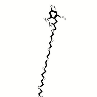 Cc1cc(C)c(CC(O)COCCOCCOCCOCCOCCOCCOCCO)c(C)c1